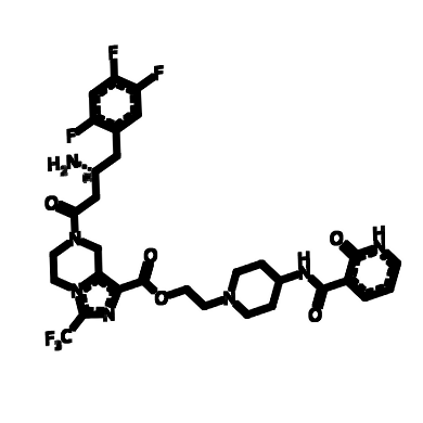 N[C@@H](CC(=O)N1CCn2c(C(F)(F)F)nc(C(=O)OCCN3CCC(NC(=O)c4ccc[nH]c4=O)CC3)c2C1)Cc1cc(F)c(F)cc1F